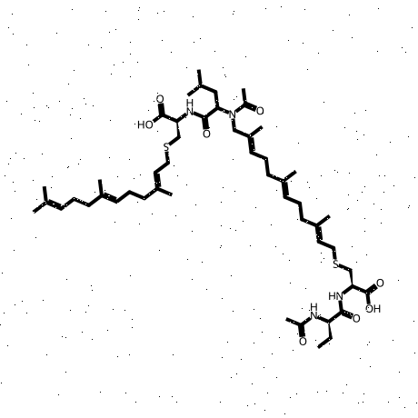 CC[C@@H](NC(C)=O)C(=O)N[C@@H](CSC/C=C(\C)CC/C=C(\C)CC/C=C(\C)CN(C(C)=O)C(CC(C)C)C(=O)N[C@@H](CSC/C=C(\C)CC/C=C(\C)CCC=C(C)C)C(=O)O)C(=O)O